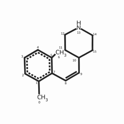 Cc1cccc(C)c1/C=C\C1CCNCC1